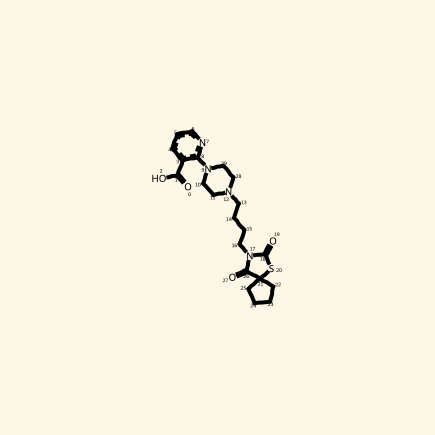 O=C(O)c1cccnc1N1CCN(CCCCN2C(=O)SC3(CCCC3)C2=O)CC1